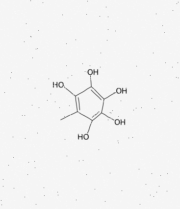 Cc1c(O)c(O)c(O)c(O)c1O